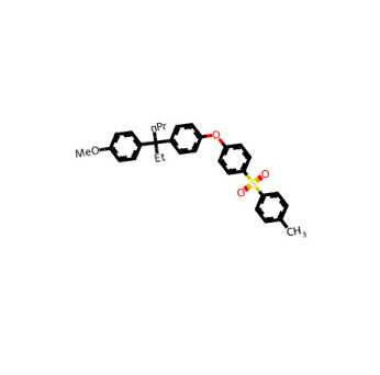 CCCC(CC)(c1ccc(OC)cc1)c1ccc(Oc2ccc(S(=O)(=O)c3ccc(C)cc3)cc2)cc1